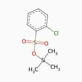 C[Si](C)(C)OS(=O)(=O)c1ccccc1Cl